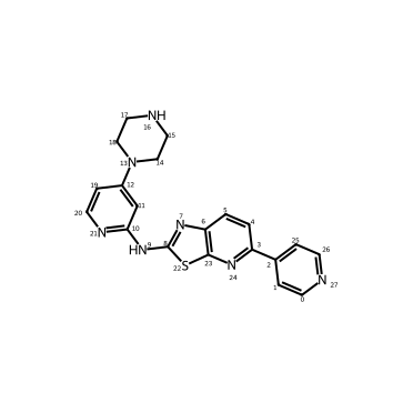 c1cc(-c2ccc3nc(Nc4cc(N5CCNCC5)ccn4)sc3n2)ccn1